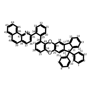 c1ccc(C2(c3ccccc3)c3ccccc3-c3cc4c(cc32)Oc2cccc(-c3ccccc3-c3ccc5ccc6ccccc6c5n3)c2O4)cc1